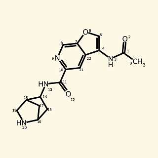 CC(=O)Nc1coc2cnc(C(=O)NC3CC4CC3CN4)cc12